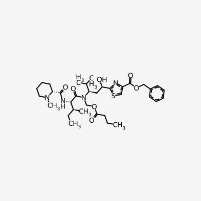 CCCC(=O)OCN(C(=O)[C@@H](NC(=O)[C@H]1CCCCN1C)[C@@H](C)CC)[C@H](C[C@@H](O)c1nc(C(=O)OCc2ccccc2)cs1)C(C)C